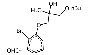 CCCCOCC(C)(O)COc1cccc(C=O)c1Br